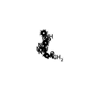 C=CC(=O)N1CC2CC1C(n1nc(-c3ccc(S(=O)(=O)Nc4ccccc4)cc3)c3c(N)ncnc31)C2